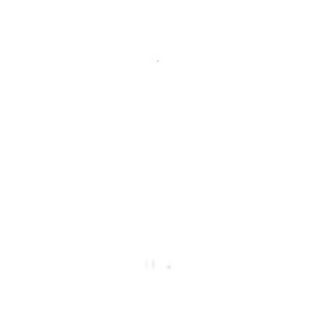 [SiH3]CCCCCC[SiH3]